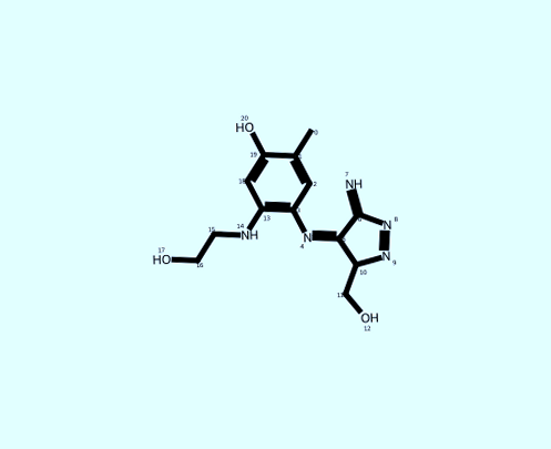 Cc1cc(N=C2C(=N)N=NC2CO)c(NCCO)cc1O